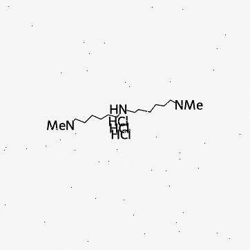 CNCCCCCCNCCCCCCNC.Cl.Cl.Cl